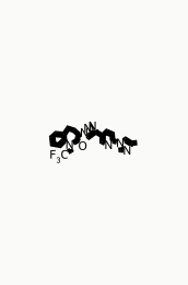 Cc1cn(-c2ccc(-c3cn(C4CCc5ccccc5N(CC(F)(F)F)C4=O)nn3)cn2)cn1